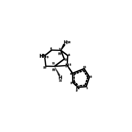 c1cncc(N2C[C@H]3CNC[C@H]2C3)c1